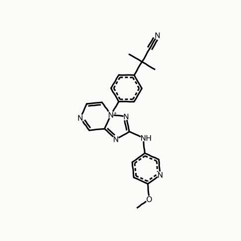 COc1ccc(NC2=N[N+]3(c4ccc(C(C)(C)C#N)cc4)C=CN=CC3=N2)cn1